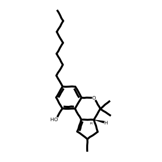 CCCCCCCc1cc(O)c2c(c1)OC(C)(C)[C@@H]1CC(C)C=C21